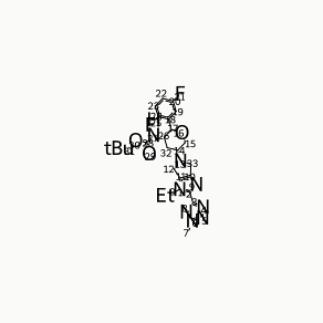 CCn1c(-c2nnn(C)n2)nc2c1CN([C@H]1CO[C@H](c3cc(F)ccc3F)[C@@H](NC(=O)OC(C)(C)C)C1)C2